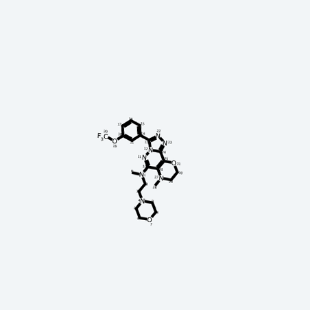 CN(CCN1CCOCC1)c1nn2c(-c3cccc(OC(F)(F)F)c3)nnc2c2c1N(C)CCO2